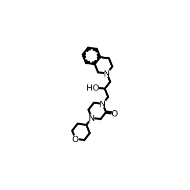 O=C1CN(C2CCOCC2)CCN1CC(O)CN1CCc2ccccc2C1